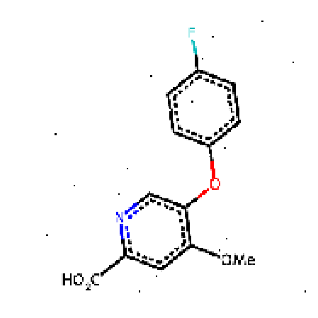 COc1cc(C(=O)O)ncc1Oc1ccc(F)cc1